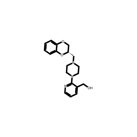 OCc1cccnc1N1CCN(C[C@H]2COc3ccccc3O2)CC1